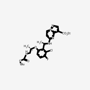 CCOC(=O)c1cnn2ccc(N[C@H](C)c3c(O[C@@H](C)CNC(=O)OC(C)(C)C)ccc(F)c3Cl)nc12